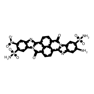 Nc1cc2nc3c4ccc5c(=O)n6c7cc(S(N)(=O)=O)c([N+](=O)[O-])cc7nc6c6ccc(c(=O)n3c2cc1S(N)(=O)=O)c4c56